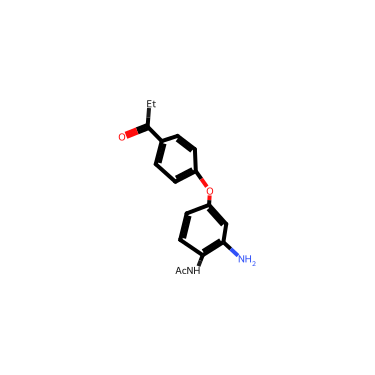 CCC(=O)c1ccc(Oc2ccc(NC(C)=O)c(N)c2)cc1